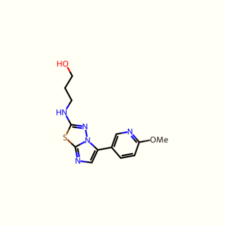 COc1ccc(-c2cnc3sc(NCCCO)nn23)cn1